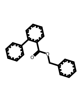 O=C(OCc1ccccc1)c1ccccc1-c1ccccc1